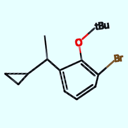 CC(c1cccc(Br)c1OC(C)(C)C)C1CC1